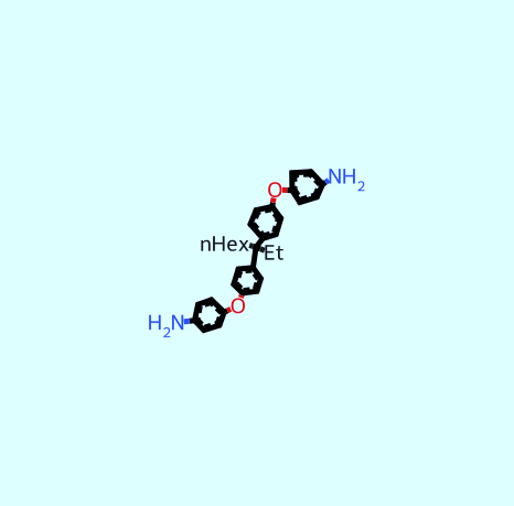 CCCCCCC(CC)(c1ccc(Oc2ccc(N)cc2)cc1)c1ccc(Oc2ccc(N)cc2)cc1